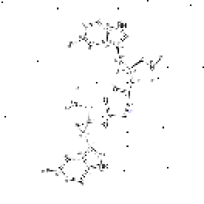 CN(C)C[C@@]1(OC(=O)/C=C\C(=O)O[C@]2(CN(C)C)C[C@H]2c2c[nH]c3ccc(F)cc23)C[C@H]1c1c[nH]c2ccc(F)cc12